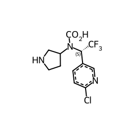 O=C(O)N(C1CCNC1)[C@@H](c1ccc(Cl)nc1)C(F)(F)F